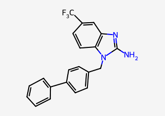 Nc1nc2cc(C(F)(F)F)ccc2n1Cc1ccc(-c2ccccc2)cc1